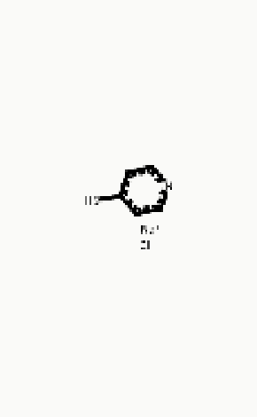 Sc1ccncc1.[Cl-].[Na+]